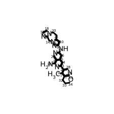 Cc1c(-c2cc3cc(Nc4cc5n(n4)Cc4nccn4CC5)ncc3c(N)n2)cnc2c1CCCO2